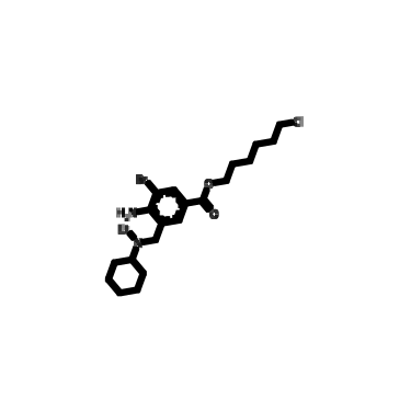 CCN(Cc1cc(C(=O)OCCCCCCCl)cc(Br)c1N)C1CCCCC1